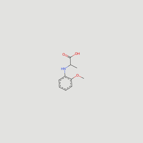 COc1ccccc1NC(C)C(=O)O